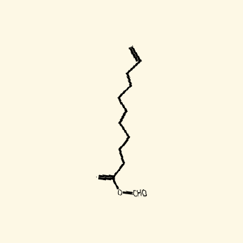 [CH]=C(CCCCCCCCC=C)OC=O